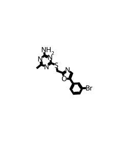 Cc1nc(N)nc(SCc2ncc(-c3cccc(Br)c3)o2)n1